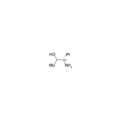 CC(C)[C@H](N)C(O)C(C)(C)C